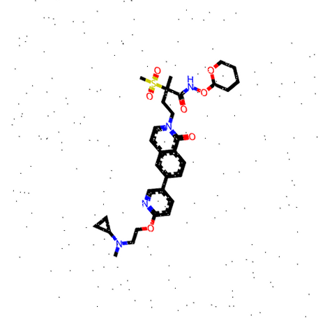 CN(CCOc1ccc(-c2ccc3c(=O)n(CCC(C)(C(=O)NOC4CCCCO4)S(C)(=O)=O)ccc3c2)cn1)C1CC1